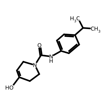 CC(C)c1ccc(NC(=O)N2CC=C(O)CC2)cc1